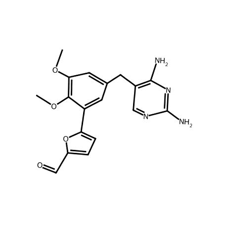 COc1cc(Cc2cnc(N)nc2N)cc(-c2ccc(C=O)o2)c1OC